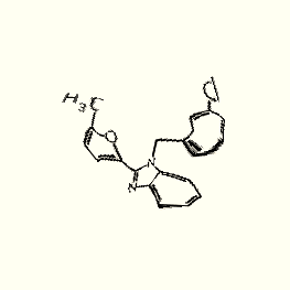 Cc1ccc(-c2nc3ccccc3n2Cc2cccc(Cl)c2)o1